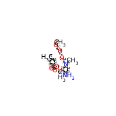 CCN(CCOCCOCCOC)c1ccc(N)c(C)c1.Cc1ccc(S(=O)(=O)O)cc1